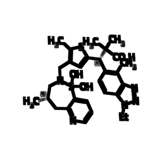 CCn1nnc2c(C)c([C@H](c3cc(CN4C[C@@H](C)Cc5ncccc5S4(O)O)c(C)s3)C(C)(C)C(=O)O)ccc21